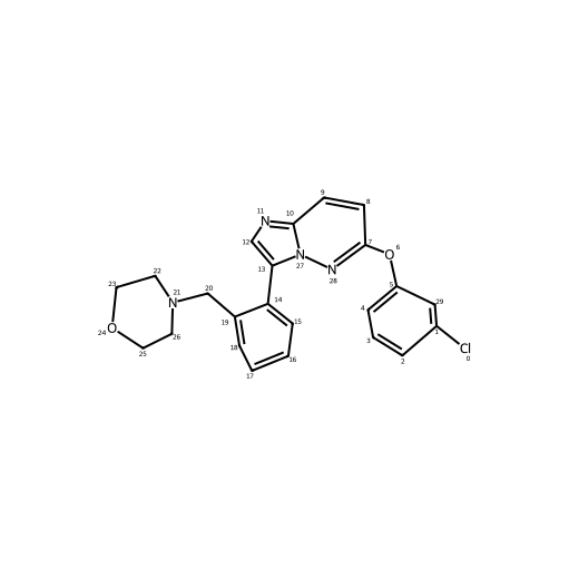 Clc1cccc(Oc2ccc3ncc(-c4ccccc4CN4CCOCC4)n3n2)c1